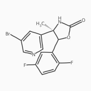 C[C@]1(c2cncc(Br)c2)NC(=O)OC1c1cc(F)ccc1F